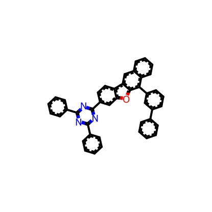 c1ccc(-c2cccc(-c3c4ccccc4cc4c3oc3cc(-c5nc(-c6ccccc6)nc(-c6ccccc6)n5)ccc34)c2)cc1